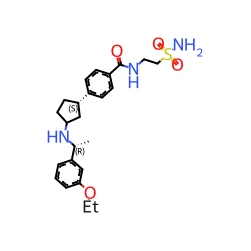 CCOc1cccc([C@@H](C)NC2CC[C@H](c3ccc(C(=O)NCCS(N)(=O)=O)cc3)C2)c1